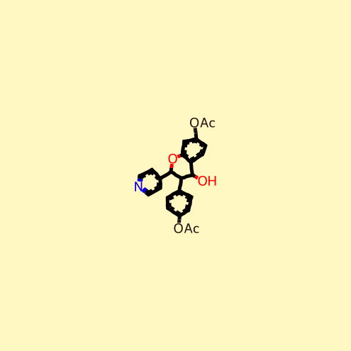 CC(=O)Oc1ccc(C2C(O)c3ccc(OC(C)=O)cc3OC2c2ccncc2)cc1